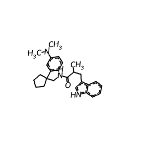 CC(Cc1c[nH]c2ccccc12)C(=O)NCC1(c2cccc(N(C)C)c2)CCCC1